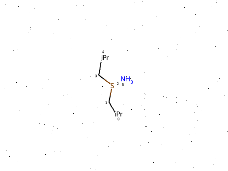 CC(C)CSCC(C)C.N